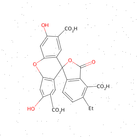 CCc1ccc2c(c1C(=O)O)C(=O)OC21c2cc(C(=O)O)c(O)cc2Oc2cc(O)c(C(=O)O)cc21